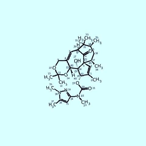 CC1=C[C@]23C(=O)[C@@H](C=C4COC(C)(C)O[C@H]4[C@]2(O)[C@H]1OC(=O)N(C)c1cc(C)n(C)n1)C(C)(C)[C@@H](C)C[C@H]3C